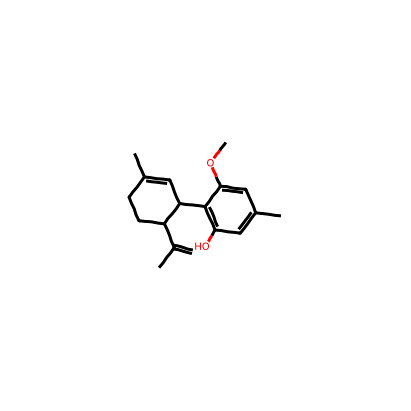 C=C(C)C1CCC(C)=CC1c1c(O)cc(C)cc1OC